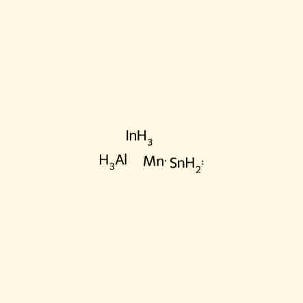 [AlH3].[InH3].[Mn].[SnH2]